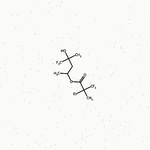 CCC(C)(C(=O)OC(C)CC(C)(O)C(F)(F)F)C(F)(F)F